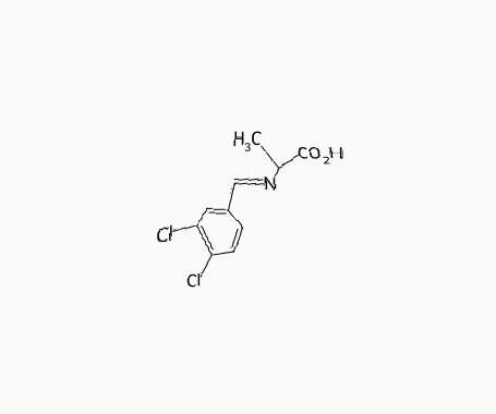 CC(/N=C/c1ccc(Cl)c(Cl)c1)C(=O)O